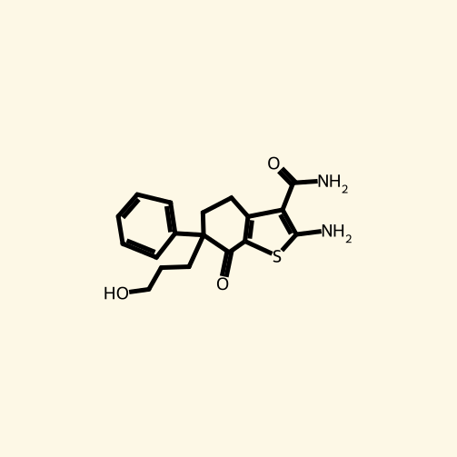 NC(=O)c1c(N)sc2c1CCC(CCCO)(c1ccccc1)C2=O